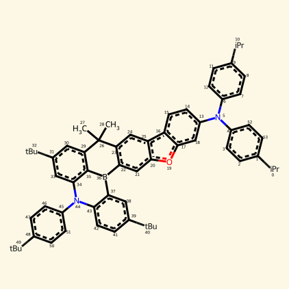 CC(C)c1ccc(N(c2ccc(C(C)C)cc2)c2ccc3c(c2)oc2cc4c(cc23)C(C)(C)c2cc(C(C)(C)C)cc3c2B4c2cc(C(C)(C)C)ccc2N3c2ccc(C(C)(C)C)cc2)cc1